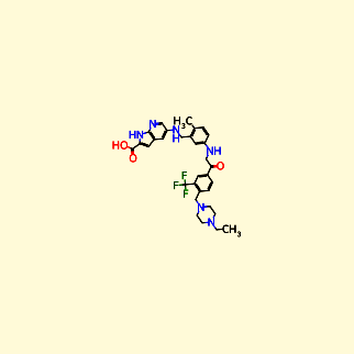 CCN1CCN(Cc2ccc(C(=O)CNc3ccc(C)c(CNc4cnc5[nH]c(C(=O)O)cc5c4)c3)cc2C(F)(F)F)CC1